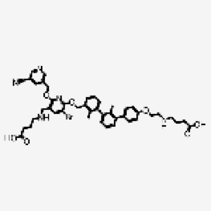 Cc1c(COc2nc(OCc3cncc(C#N)c3)c(CNCCCC(=O)O)cc2Br)cccc1-c1cccc(-c2ccc(OCCNCCCC(=O)O)cc2)c1C